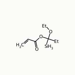 C=CC(=O)OC([SiH3])(CC)OCC